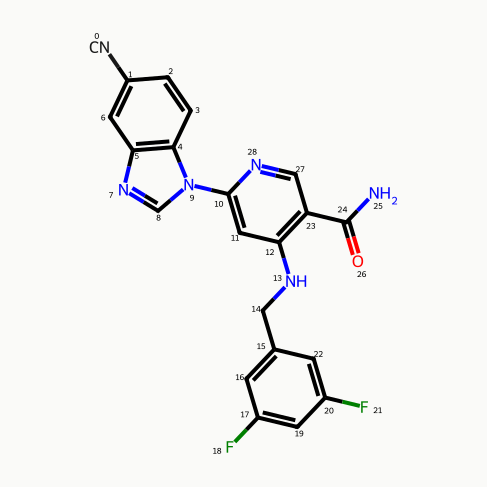 [C-]#[N+]c1ccc2c(c1)ncn2-c1cc(NCc2cc(F)cc(F)c2)c(C(N)=O)cn1